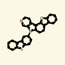 c1ccc2c(c1)oc1c2ccc2c1c1ccncc1n2-c1ccc2sc3ccccc3c2c1